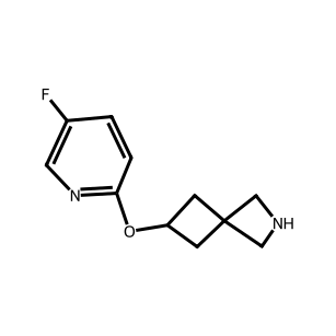 Fc1ccc(OC2CC3(CNC3)C2)nc1